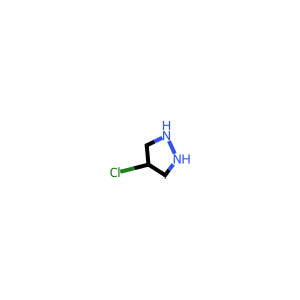 ClC1[CH]NNC1